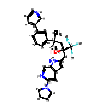 CC(C)(CC(O)(Cc1cc2cc(N3CCCC3)ncc2[nH]1)C(F)(F)F)c1cccc(-c2cccnc2)c1